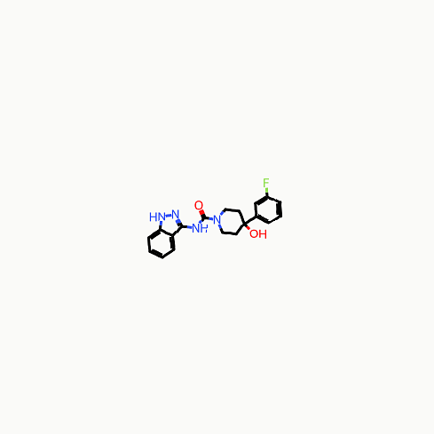 O=C(Nc1n[nH]c2ccccc12)N1CCC(O)(c2cccc(F)c2)CC1